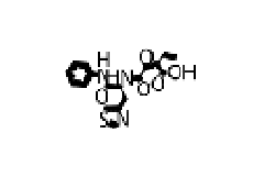 CC[C@]1(C(=O)O)O[C@@H]1C(=O)N[C@@H](Cc1cscn1)C(=O)Nc1ccccc1